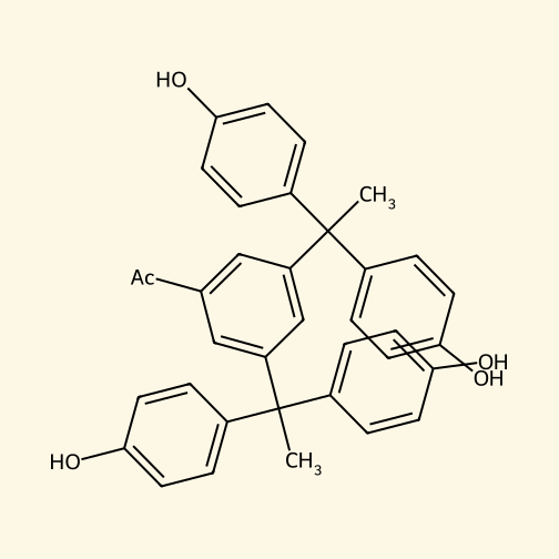 CC(=O)c1cc(C(C)(c2ccc(O)cc2)c2ccc(O)cc2)cc(C(C)(c2ccc(O)cc2)c2ccc(O)cc2)c1